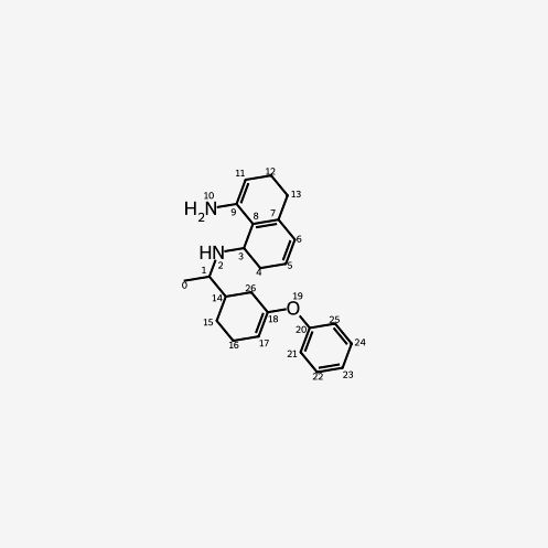 CC(NC1CC=CC2=C1C(N)=CCC2)C1CCC=C(Oc2ccccc2)C1